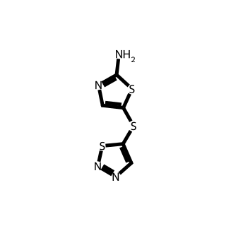 Nc1ncc(Sc2cnns2)s1